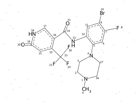 CN1CCN(c2cc(F)c(Br)cc2NC(=O)c2c[nH]c(=O)cc2C(F)(F)F)CC1